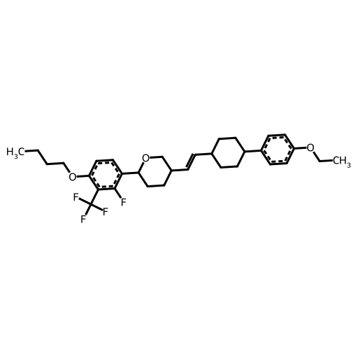 CCCCOc1ccc(C2CCC(/C=C/C3CCC(c4ccc(OCC)cc4)CC3)CO2)c(F)c1C(F)(F)F